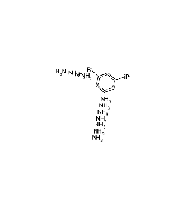 CC(C)c1cccc(Br)c1.N.N.N.N.N.N.N.N.N.N.N